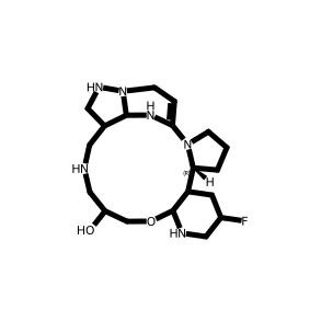 OC1CNCC2CNN3CC=C(NC23)N2CCC[C@@H]2C2CC(F)CNC2OC1